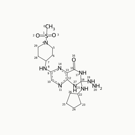 CS(=O)(=O)N1CCC(Nc2cnc3c(n2)C(=O)NC(NN)(NC2CCCC2)N3)CC1